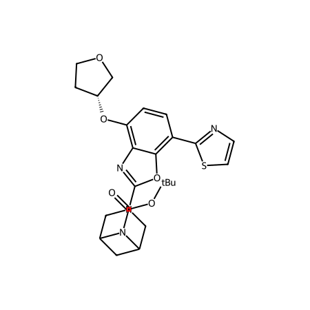 CC(C)(C)OC(=O)N1C2CC1CN(c1nc3c(O[C@@H]4CCOC4)ccc(-c4nccs4)c3o1)C2